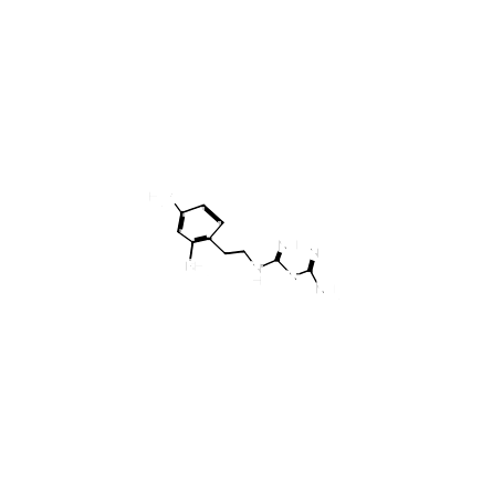 Bc1ccc(CCNC(=N)NC(=N)N)c(B)c1